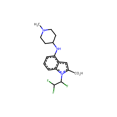 CN1CCC(Nc2cccc3c2cc(C(=O)O)n3C(F)C(F)F)CC1